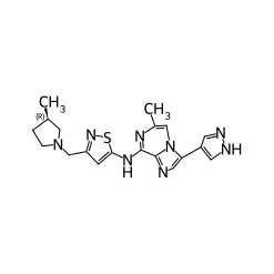 Cc1cn2c(-c3cn[nH]c3)cnc2c(Nc2cc(CN3CC[C@@H](C)C3)ns2)n1